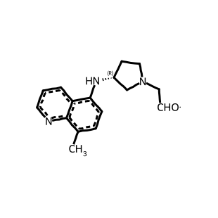 Cc1ccc(N[C@@H]2CCN(C[C]=O)C2)c2cccnc12